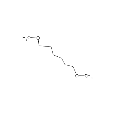 COCC[CH]CCCOC